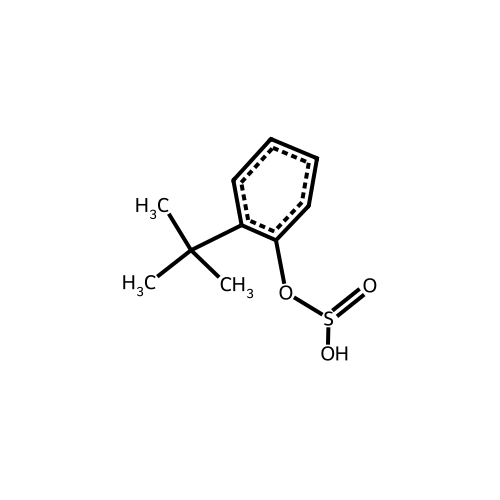 CC(C)(C)c1ccccc1OS(=O)O